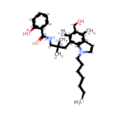 CCCCCCCN1CCc2c(C)c(CO)c(C)c(CC(C)(C)CNC(=O)c3ccccc3O)c21